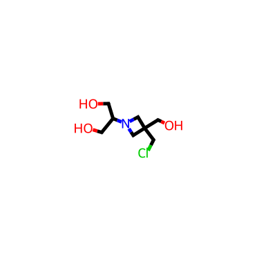 OCC(CO)N1CC(CO)(CCl)C1